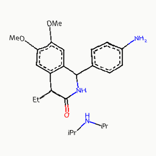 CC(C)NC(C)C.CCC1C(=O)NC(c2ccc(N)cc2)c2cc(OC)c(OC)cc21